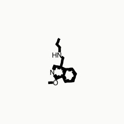 CCCNCc1cnc(OC)c2ccccc12